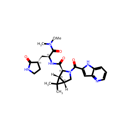 CON(C)C(=O)[C@H](C[C@@H]1CCNC1=O)NC(=O)[C@@H]1[C@@H]2[C@H](CN1C(=O)c1cc3ncccc3[nH]1)C2(C)C